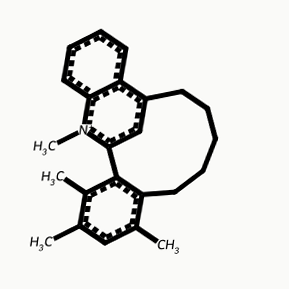 Cc1cc(C)c2c(c1C)-c1cc(c3ccccc3[n+]1C)CCCCC2